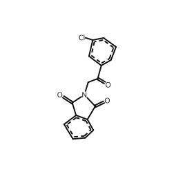 O=C(CN1C(=O)c2ccccc2C1=O)c1cccc(Cl)c1